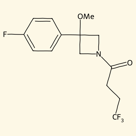 COC1(c2ccc(F)cc2)CN(C(=O)CCC(F)(F)F)C1